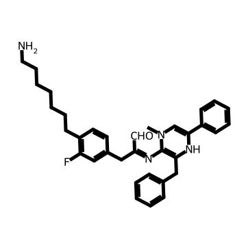 CN1C=C(c2ccccc2)NC(Cc2ccccc2)=C1/N=C(\C=O)Cc1ccc(CCCCCCCN)c(F)c1